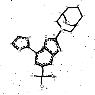 OC(O)(c1cc(-c2nccs2)c2oc(N3CC4CCCC(C3)N4)nc2c1)C(F)(F)F